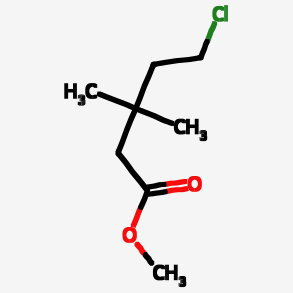 COC(=O)CC(C)(C)CCCl